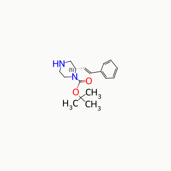 CC(C)(C)OC(=O)N1CCNC[C@@H]1C=Cc1ccccc1